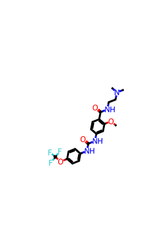 COc1cc(NC(=O)Nc2ccc(OC(F)(F)F)cc2)ccc1C(=O)NCCN(C)C